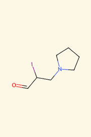 O=CC(I)CN1CCCC1